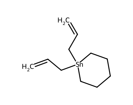 C=C[CH2][Sn]1([CH2]C=C)[CH2]CCC[CH2]1